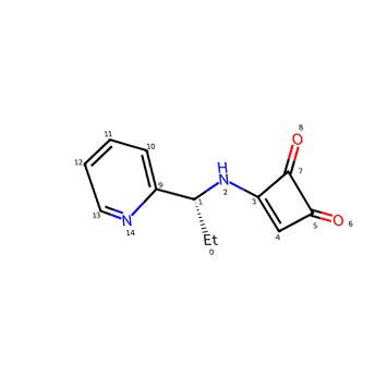 CC[C@@H](Nc1cc(=O)c1=O)c1ccccn1